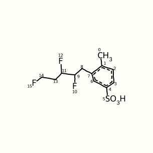 Cc1ccc(S(=O)(=O)O)cc1CC(F)C(F)CCF